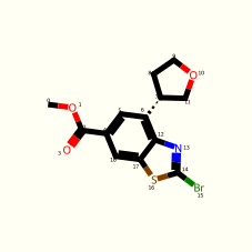 COC(=O)c1cc([C@@H]2CCOC2)c2nc(Br)sc2c1